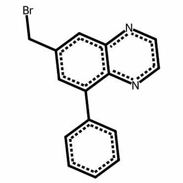 BrCc1cc(-c2ccccc2)c2nccnc2c1